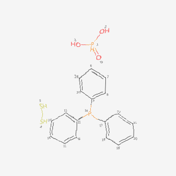 O=[PH](O)O.SS.c1ccc(P(c2ccccc2)c2ccccc2)cc1